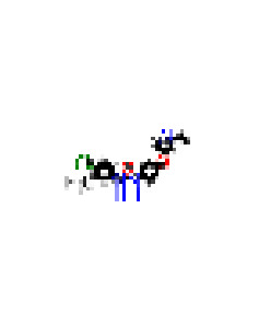 C=Cc1cc(Oc2ccc(NC(=O)Nc3ccc(Cl)c(C(F)(F)F)c3)cc2)ccn1